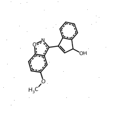 COc1ccc2onc(C3=CC(O)c4ccccc43)c2c1